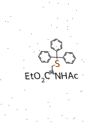 CCOC(=O)[C@H](CSC(c1ccccc1)(c1ccccc1)c1ccccc1)NC(C)=O